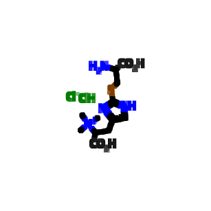 C[N+](C)(C)C(Cc1c[nH]c(SCC(N)C(=O)O)n1)C(=O)O.Cl.[Cl-]